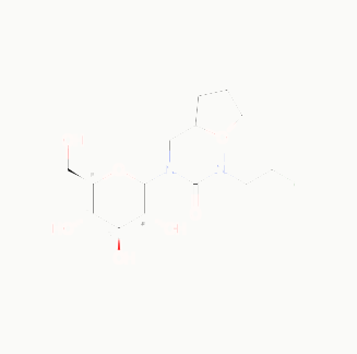 O=C(NCCCl)N(CC1CCCO1)C1O[C@H](CO)[C@@H](O)[C@H](O)[C@H]1O